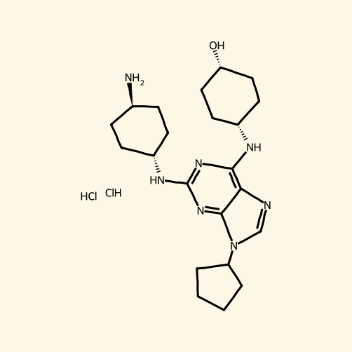 Cl.Cl.N[C@H]1CC[C@H](Nc2nc(N[C@H]3CC[C@@H](O)CC3)c3ncn(C4CCCC4)c3n2)CC1